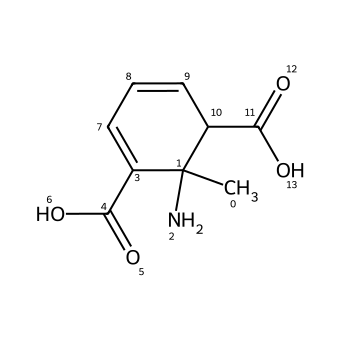 CC1(N)C(C(=O)O)=CC=CC1C(=O)O